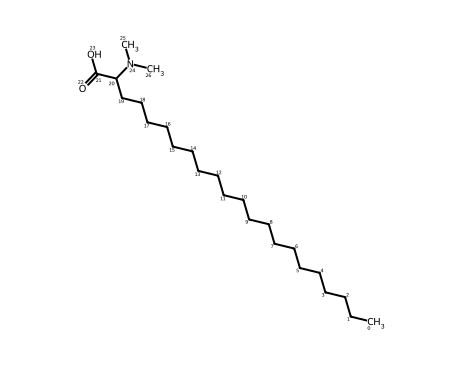 CCCCCCCCCCCCCCCCCCCCC(C(=O)O)N(C)C